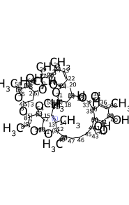 CO[C@H]1C[C@H](O[C@H]2[C@H](C)O[C@@H](O[C@@H]3/C(C)=C/C[C@@H]4C[C@@H](C[C@]5(C=C[C@H](C)[C@@H](C(C)C)O5)O4)OC(=O)[C@@H]4C=C(C)[C@@H](O)C5OCC(CCC[C@@H]3C)[C@]54O)C[C@@H]2OC)O[C@@H](C)[C@@H]1O